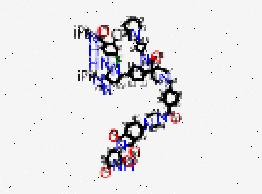 Cc1cc(F)c(Nc2nc(-c3ccc4c(c3)N(C3CC(N5CCCCC5)C3)C(=O)C43CCN(Cc4ccc(C(=O)N5CCN(c6ccc7c(c6)C(=O)N(C6CCC(=O)NC6=O)C7=O)CC5)cc4)CC3)cc3ncn(C(C)C)c23)cc1C(=O)NC(C)C